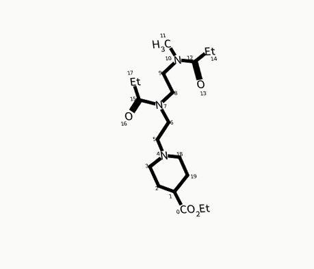 CCOC(=O)C1CCN(CCN(CCN(C)C(=O)CC)C(=O)CC)CC1